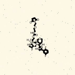 C[C@@H](COC(=O)NCCOCCN1C(=O)C=CC1=O)NC(=O)N(C[C@@H]1CNC[C@@H]1F)[C@@H](c1nc(-c2cc(F)ccc2F)c[nH]1)C1(O)CCOCC1